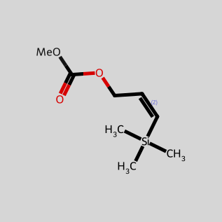 COC(=O)OC/C=C\[Si](C)(C)C